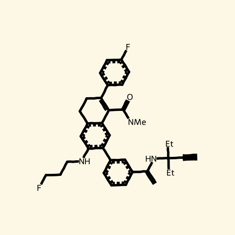 C#CC(CC)(CC)NC(=C)c1cccc(-c2cc3c(cc2NCCCF)CCC(c2ccc(F)cc2)=C3C(=O)NC)c1